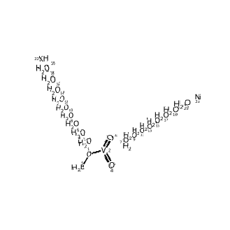 B[O][V](=[O])=[O].O.O.O.O.O.O.O.O.O.O.O.O.O.O.O.O.O.[KH].[Ni]